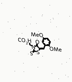 COc1ccc(OC)c(/C=C2/SC(=S)N(CC(=O)O)C2=O)c1